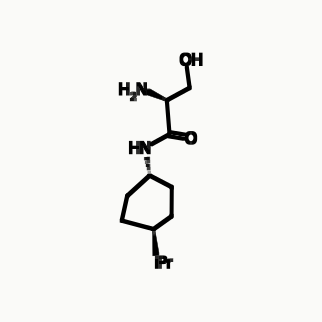 CC(C)[C@H]1CC[C@H](NC(=O)[C@@H](N)CO)CC1